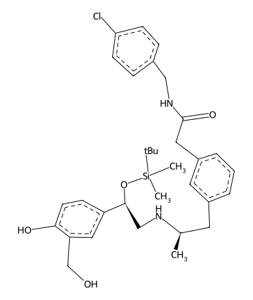 C[C@H](Cc1cccc(CC(=O)NCc2ccc(Cl)cc2)c1)NC[C@H](O[Si](C)(C)C(C)(C)C)c1ccc(O)c(CO)c1